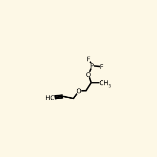 C#CCOCC(C)OP(F)F